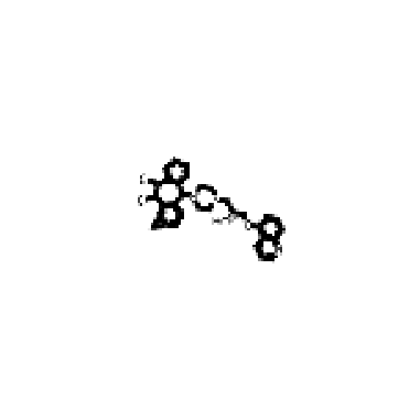 O[C@@H](COc1cccc2ncccc12)CN1CCN(C2c3ccccc3C(Cl)C(Cl)c3c2ccc2c3C2)CC1